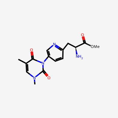 COC(=O)[C@@H](N)Cc1ccc(-n2c(=O)c(C)cn(C)c2=O)cn1